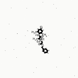 CC[PH](CC)(CC(=O)OCc1ccccc1)C(C)C(=O)Nc1c(C)cc(Cl)cc1C